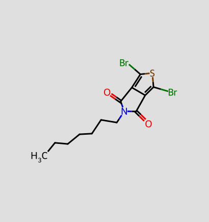 CCCCCCCN1C(=O)c2c(Br)sc(Br)c2C1=O